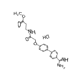 COC(=O)CCNC(=O)COc1ccc(-c2ccc(C(=N)N)cc2)cc1.Cl